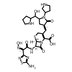 Nc1nc(/C(=N/O)C(=O)N[C@@H]2C(=O)N3C(C(=O)O)=C(/C=C4\CC(C(O)C5CCCN5)N(C5CCNC5)C4=O)CS[C@H]23)ns1